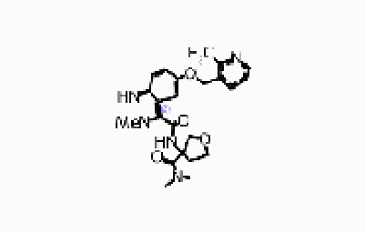 CN/C(C(=O)NC1(C(=O)N(C)C)CCOC1)=C1/C=C(OCc2cccnc2C(F)(F)F)C=CC1=N